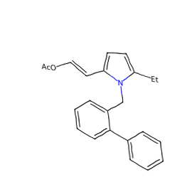 CCc1ccc(/C=C/OC(C)=O)n1Cc1ccccc1-c1ccccc1